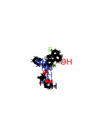 C#Cc1c(F)ccc2cc(O)cc(-c3c(C(C)C)cc4c(N5CC6CCC(C5)N6)nc(OCC5(CN6C[C@@H]7CC[C@H]6CN7)CC5)nc4c3F)c12